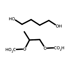 CC(COC(=O)O)OC(=O)O.OCCCCO